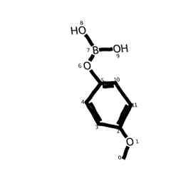 COc1ccc(OB(O)O)cc1